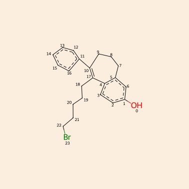 Oc1ccc2c(c1)CCCC(c1ccccc1)=C2CCCCCBr